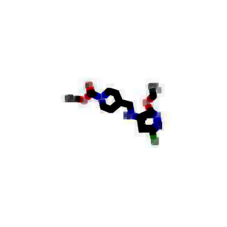 CC(C)(C)OC(=O)N1CCC(CNc2cc(Cl)nnc2OCC(F)(F)F)CC1